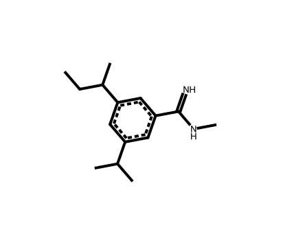 CCC(C)c1cc(C(=N)NC)cc(C(C)C)c1